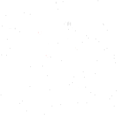 C=C(Sc1cccc2ccccc12)C(=O)OCC